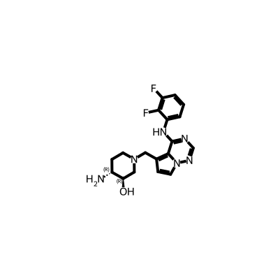 N[C@@H]1CCN(Cc2ccn3ncnc(Nc4cccc(F)c4F)c23)C[C@H]1O